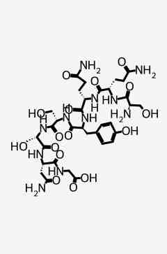 NC(=O)CC[C@H](NC(=O)[C@H](CCC(N)=O)NC(=O)[C@@H](N)CO)C(=O)N[C@@H](Cc1ccc(O)cc1)C(=O)N[C@@H](CO)C(=O)N[C@@H](CO)C(=O)N[C@@H](CC(N)=O)C(=O)NCC(=O)O